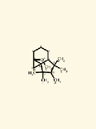 COC12CCCC3C(C)(C)C(C)C(C)(C)C31C2